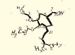 COCOc1cc(CO)cc(CC=C(C)C)c1OCOC